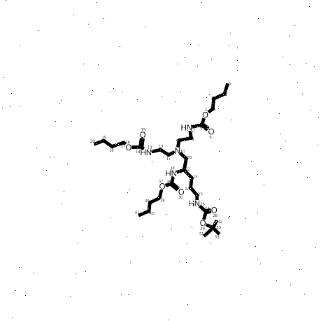 CCCCOC(=O)NCCN(CCNC(=O)OCCCC)CC(CCCNC(=O)OC(C)(C)C)NC(=O)OCCCC